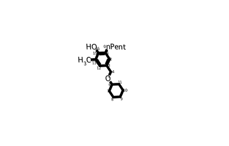 CCCCCc1cc(COC2CCCCC2)cc(C)c1O